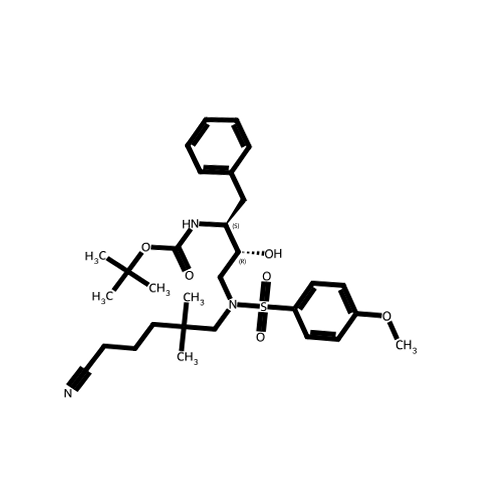 COc1ccc(S(=O)(=O)N(C[C@@H](O)[C@H](Cc2ccccc2)NC(=O)OC(C)(C)C)CC(C)(C)CCCC#N)cc1